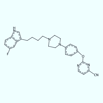 N#Cc1ccnc(Oc2ccc(N3CCN(CCCCc4c[nH]c5ccc(F)cc45)CC3)cc2)n1